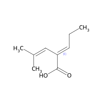 CC/C=C(\C=C(C)C)C(=O)O